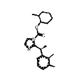 Cc1cccc([C@H](C)c2nccn2C(=O)OC2CCCCC2C)c1C